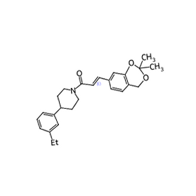 CCc1cccc(C2CCN(C(=O)/C=C/c3ccc4c(c3)OC(C)(C)OC4)CC2)c1